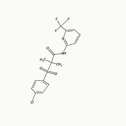 CC(C)(C(=O)Nc1cccc(C(F)(F)F)n1)S(=O)(=O)c1ccc(Cl)cc1